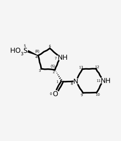 O=C([C@@H]1C[C@@H](S(=O)(=O)O)CN1)N1CCNCC1